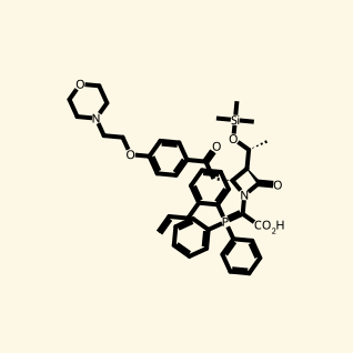 C=CCc1ccccc1P(=C(C(=O)O)N1C(=O)[C@H]([C@@H](C)O[Si](C)(C)C)[C@H]1CC(=O)c1ccc(OCCN2CCOCC2)cc1)(c1ccccc1)c1ccccc1